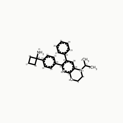 CC(C)N1CCOc2nc(-c3ccc(C4(N)CCC4)cc3)c(-c3ccccc3)cc21